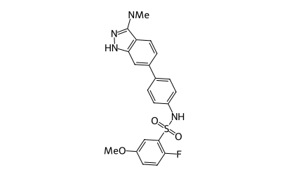 CNc1n[nH]c2cc(-c3ccc(NS(=O)(=O)c4cc(OC)ccc4F)cc3)ccc12